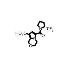 O=C(O)c1cc(C(=O)N2CCC[C@@H]2C(F)(F)F)n2c1COCC2